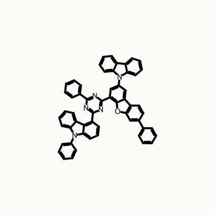 c1ccc(-c2ccc3c(c2)oc2c(-c4nc(-c5ccccc5)nc(-c5cccc6c5c5ccccc5n6-c5ccccc5)n4)cc(-n4c5ccccc5c5ccccc54)cc23)cc1